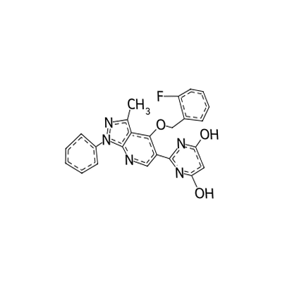 Cc1nn(-c2ccccc2)c2ncc(-c3nc(O)cc(O)n3)c(OCc3ccccc3F)c12